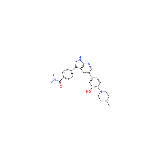 CN1CCN(c2ccc(-c3cnc4[nH]cc(-c5ccc(C(=O)N(C)C)cc5)c4c3)cc2O)CC1